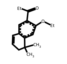 CCOc1cc2c(cc1C(=O)CC)C=CCC2(C)C